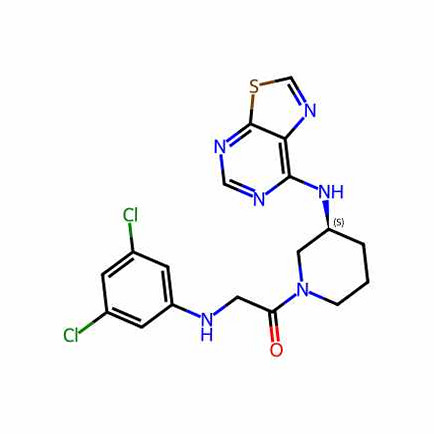 O=C(CNc1cc(Cl)cc(Cl)c1)N1CCC[C@H](Nc2ncnc3scnc23)C1